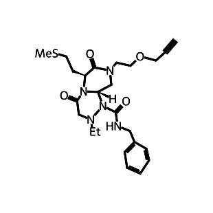 C#CCOCCN1C[C@H]2N(C(=O)CN(CC)N2C(=O)NCc2ccccc2)[C@@H](CCSC)C1=O